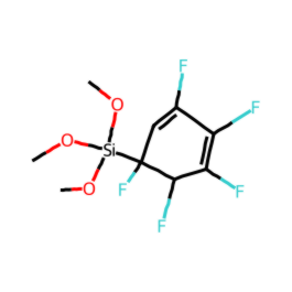 CO[Si](OC)(OC)C1(F)C=C(F)C(F)=C(F)C1F